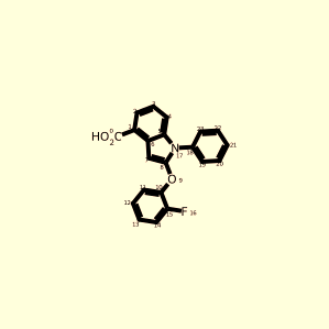 O=C(O)c1cccc2c1cc(Oc1ccccc1F)n2-c1ccccc1